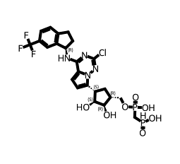 O=[PH](O)CP(=O)(O)OC[C@H]1C[C@@H](c2ccc3c(N[C@@H]4CCc5ccc(C(F)(F)F)cc54)nc(Cl)nn23)[C@H](O)[C@@H]1O